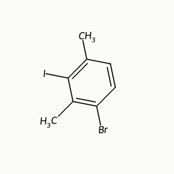 Cc1ccc(Br)c(C)c1I